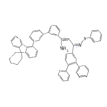 N/C(=C\C(=N/Sc1ccccc1)c1ccc(-c2ccccc2)c(-c2ccccc2)c1)c1cccc(-c2cccc(-c3cccc4c3-c3ccccc3C43CCCCC3)c2)c1